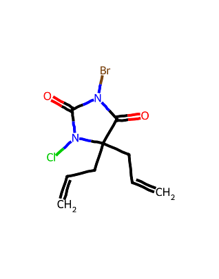 C=CCC1(CC=C)C(=O)N(Br)C(=O)N1Cl